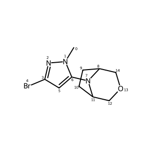 Cn1nc(Br)cc1N1C2CCC1COC2